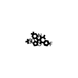 CC(C)c1nc2c(c3c1C(c1ccc(F)cc1)OC31CCCC1)C(O[Si](C)(C)C(C)(C)C)CC(C)(C)C2